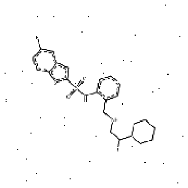 CC(CNCc1ccccc1NS(=O)(=O)c1cc2cc(F)ccc2s1)C1CCCCC1